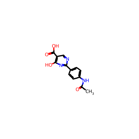 CC(=O)Nc1ccc(-c2ncc(C(=O)O)c(O)n2)cc1